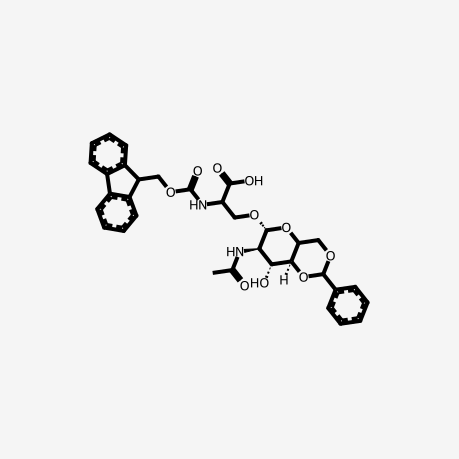 CC(=O)N[C@H]1[C@H](OCC(NC(=O)OCC2c3ccccc3-c3ccccc32)C(=O)O)OC2COC(c3ccccc3)O[C@H]2[C@@H]1O